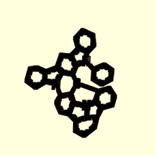 c1ccc(-n2c3ccccc3c3cc4c5ccccc5n5c4c(c32)B2c3cccc4c6cccc7c8ccc-5c2c8n(c34)c67)cc1